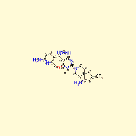 Cc1nc(N)ccc1C1NNc2nc(N3CCC4(CC3)C[C@@H](C(F)(F)F)C[C@H]4N)n(C)c(=O)c21